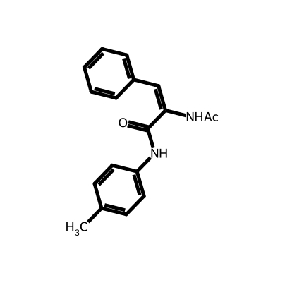 CC(=O)N/C(=C/c1ccccc1)C(=O)Nc1ccc(C)cc1